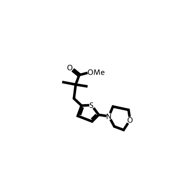 COC(=O)C(C)(C)Cc1ccc(N2CCOCC2)s1